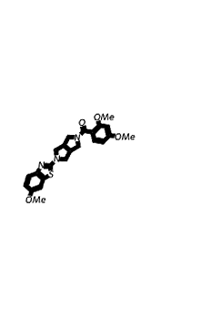 COc1ccc(C(=O)N2CC3CN(c4nc5ccc(OC)cc5s4)CC3C2)c(OC)c1